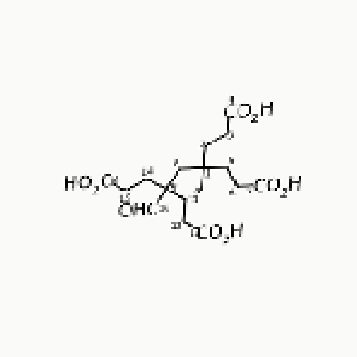 CC(CCC(=O)O)(CCC(=O)O)CC(C=O)(CCC(=O)O)CCC(=O)O